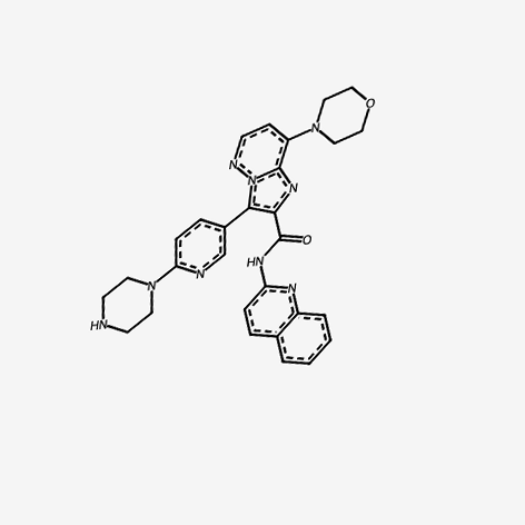 O=C(Nc1ccc2ccccc2n1)c1nc2c(N3CCOCC3)ccnn2c1-c1ccc(N2CCNCC2)nc1